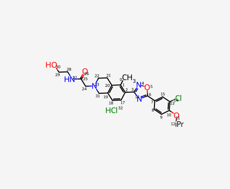 Cc1c(-c2noc(-c3ccc(OC(C)C)c(Cl)c3)n2)ccc2c1CCN(CC(=O)NCCO)C2.Cl